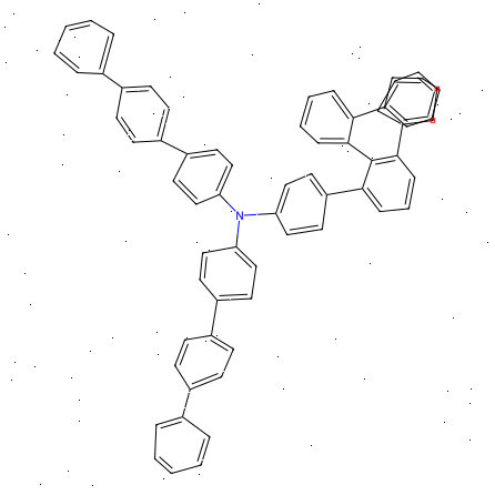 c1ccc(-c2ccc(-c3ccc(N(c4ccc(-c5ccc(-c6ccccc6)cc5)cc4)c4ccc(-c5cccc(-c6ccccc6)c5-c5ccccc5-c5ccccc5)cc4)cc3)cc2)cc1